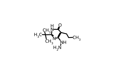 CCCc1c(NN)nc(C(C)(C)C)[nH]c1=O